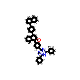 c1ccc(-c2nc(-c3ccccc3)nc(-c3ccc4c(c3)oc3cc(-c5ccc(-c6cccc7ccccc67)cc5)c5ccccc5c34)n2)cc1